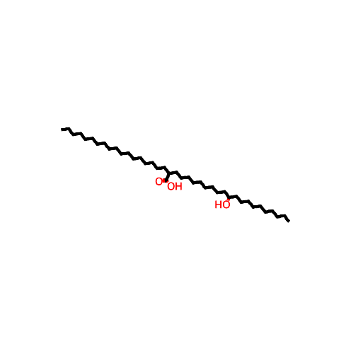 CCCCCCCCCCCCCCCCCCC(CCCCCCCCCC(O)CCCCCCCCCC)C(=O)O